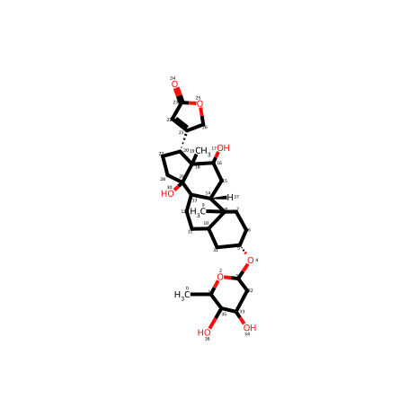 CC1OC(O[C@H]2CCC3(C)C(CCC4[C@@H]3CC(O)C3(C)[C@@H](C5=CC(=O)OC5)CCC43O)C2)CC(O)C1O